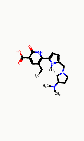 CCc1cc(C(=O)O)c(=O)[nH]c1-c1ccc(CN2CCC(N(C)C)C2)n1C